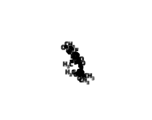 CCn1cc(C(=O)C=Cc2cc(OC)c(OC)c(OC)c2)c(=O)c2cc(F)c(N3CCN(C(C)=O)CC3)nc21